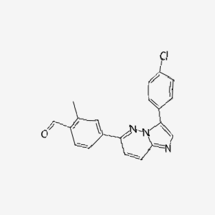 Cc1cc(-c2ccc3ncc(-c4ccc(Cl)cc4)n3n2)ccc1C=O